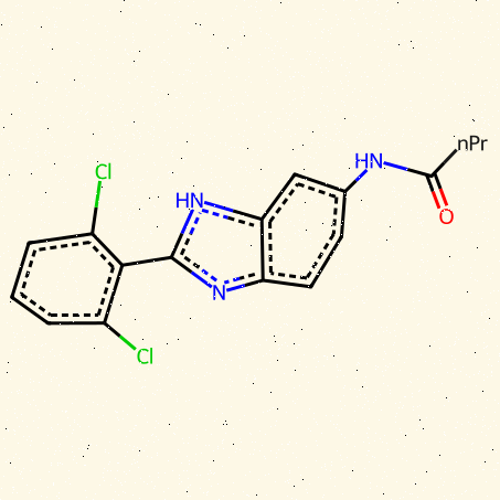 CCCC(=O)Nc1ccc2nc(-c3c(Cl)cccc3Cl)[nH]c2c1